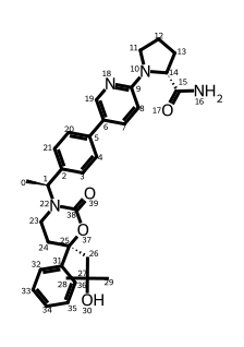 C[C@@H](c1ccc(-c2ccc(N3CCC[C@@H]3C(N)=O)nc2)cc1)N1CC[C@](CC(C)(C)O)(c2ccccc2)OC1=O